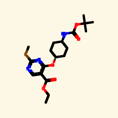 CCOC(=O)c1cnc(SC)nc1O[C@H]1CC[C@H](NC(=O)OC(C)(C)C)CC1